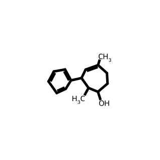 CC1=CC(c2ccccc2)C(C)C(O)CC1